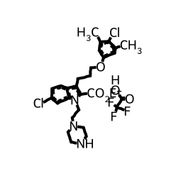 CCOC(=O)c1c(CCCOc2cc(C)c(Cl)c(C)c2)c2ccc(Cl)cc2n1CCN1CCNCC1.O=C(O)C(F)(F)F